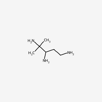 CC(C)(N)C(N)CCN